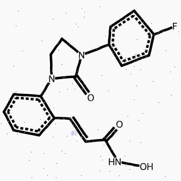 O=C(/C=C/c1ccccc1N1CCN(c2ccc(F)cc2)C1=O)NO